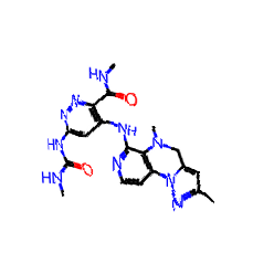 CNC(=O)Nc1cc(Nc2nccc3c2N(C)Cc2cc(C)nn2-3)c(C(=O)NC)nn1